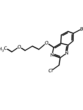 CCOCCCOc1nc(CCl)nc2cc(Br)ccc12